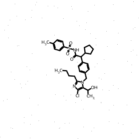 CCCCc1nc(Cl)c(C(C)O)n1Cc1ccc(C(C(=O)NS(=O)(=O)c2ccc(C)cc2)C2CCCC2)cc1